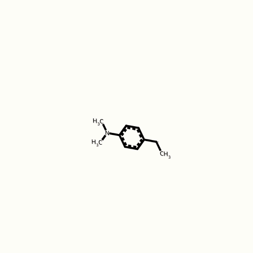 C[CH]c1ccc(N(C)C)cc1